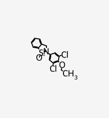 CCOc1c(Cl)cc(N2Cc3ccccc3[S+]2[O-])cc1Cl